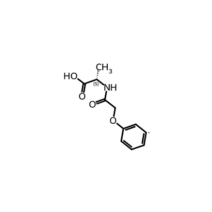 C[C@H](NC(=O)COc1c[c]ccc1)C(=O)O